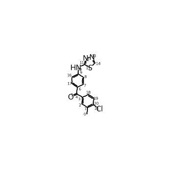 Cc1cc(C(=O)c2ccc(Nc3nncs3)cc2)ccc1Cl